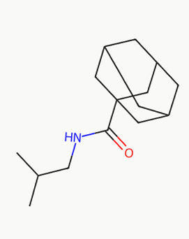 CC(C)CNC(=O)C12CC3CC(CC(C3)C1)C2